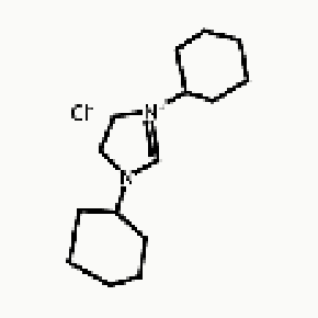 C1=[N+](C2CCCCC2)CCN1C1CCCCC1.[Cl-]